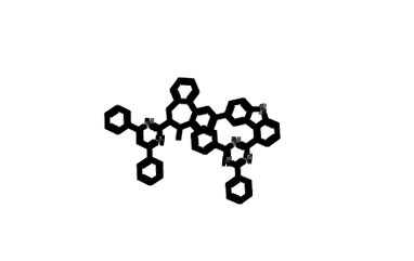 CC1c2ccc(-c3ccc4sc5cccc(-c6nc(-c7ccccc7)nc(-c7ccccc7)n6)c5c4c3)cc2-c2ccccc2CC1c1nc(-c2ccccc2)cc(-c2ccccc2)n1